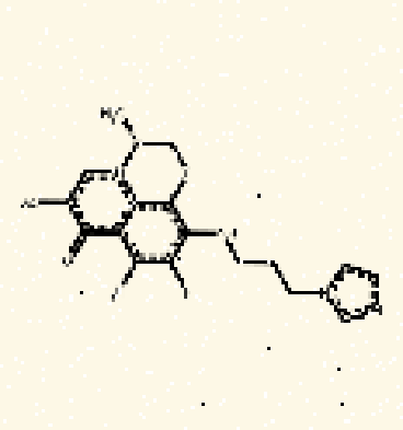 CC(=O)c1cn2c3c(c(NCCCn4ccnc4)c(F)c(N)c3c1=O)OC[C@@H]2C